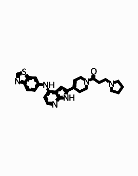 O=C(CCN1CCCC1)N1CC=C(c2cc3c(Nc4ccc5ncsc5c4)ccnc3[nH]2)CC1